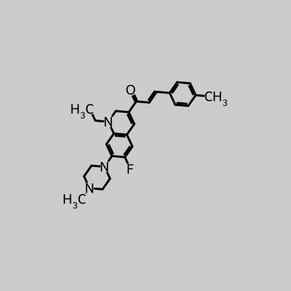 CCN1CC(C(=O)C=Cc2ccc(C)cc2)=Cc2cc(F)c(N3CCN(C)CC3)cc21